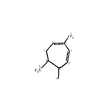 CC1C=CC(C(F)(F)F)=CCC1C(F)(F)F